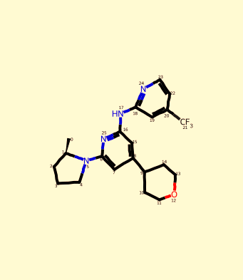 C[C@@H]1CCCN1c1cc(C2CCOCC2)cc(Nc2cc(C(F)(F)F)ccn2)n1